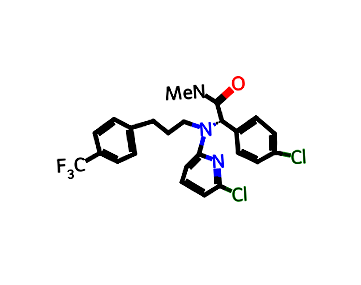 CNC(=O)[C@H](c1ccc(Cl)cc1)N(CCCc1ccc(C(F)(F)F)cc1)c1cccc(Cl)n1